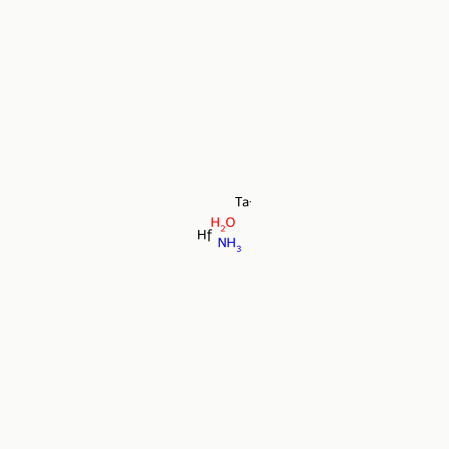 N.O.[Hf].[Ta]